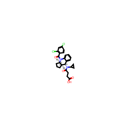 O=C(O)CCC(=O)N(C1CC1)[C@H]1c2ccccc2N(C(=O)c2ccc(Cl)cc2Cl)[C@@H]2CCC[C@@H]21